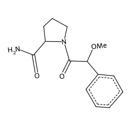 COC(C(=O)N1CCCC1C(N)=O)c1ccccc1